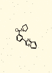 O=C(c1cccc(-c2cn3ccccc3n2)c1)N1CCCC1